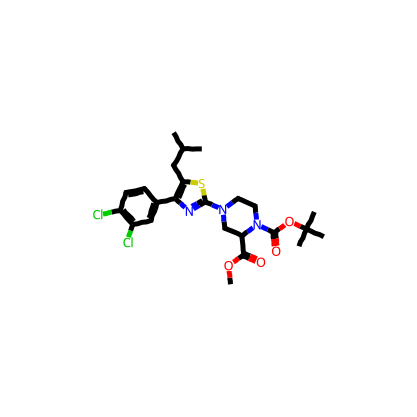 COC(=O)C1CN(c2nc(-c3ccc(Cl)c(Cl)c3)c(CC(C)C)s2)CCN1C(=O)OC(C)(C)C